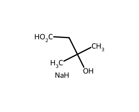 CC(C)(O)CC(=O)O.[NaH]